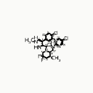 CN/C=C(\C(=N)C(=O)N1CC(F)(F)C[C@@H](C)C1CNc1ncc(Cl)cn1)c1ccc(Cl)cc1